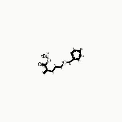 C=C(CCCOCc1ccccc1)C(=O)OC(C)(C)C